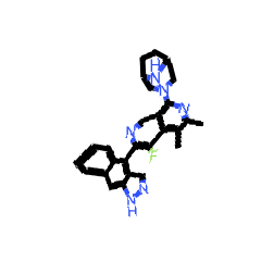 Cc1nc(N2CC3CCC(C2)N3)c2cnc(-c3c4ccccc4cc4[nH]ncc34)c(F)c2c1C